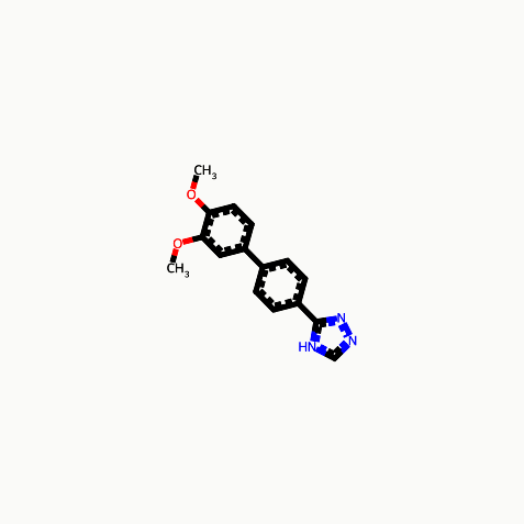 COc1ccc(-c2ccc(-c3nnc[nH]3)cc2)cc1OC